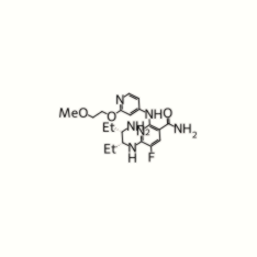 CC[C@H](N)[C@@H](CC)Nc1nc(Nc2ccnc(OCCOC)c2)c(C(N)=O)cc1F